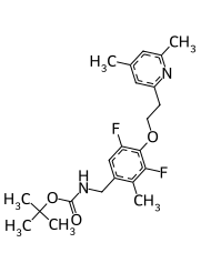 Cc1cc(C)nc(CCOc2c(F)cc(CNC(=O)OC(C)(C)C)c(C)c2F)c1